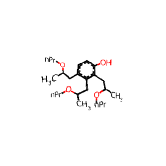 CCCOC(C)Cc1ccc(O)c(CC(C)OCCC)c1CC(C)OCCC